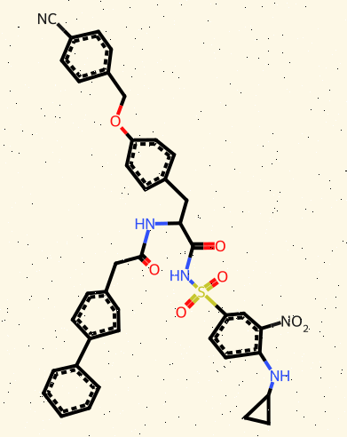 N#Cc1ccc(COc2ccc(CC(NC(=O)Cc3ccc(-c4ccccc4)cc3)C(=O)NS(=O)(=O)c3ccc(NC4CC4)c([N+](=O)[O-])c3)cc2)cc1